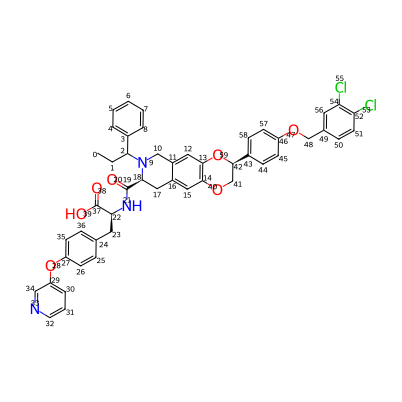 CCC(c1ccccc1)N1Cc2cc3c(cc2C[C@H]1C(=O)N[C@@H](Cc1ccc(Oc2cccnc2)cc1)C(=O)O)OC[C@H](c1ccc(OCc2ccc(Cl)c(Cl)c2)cc1)O3